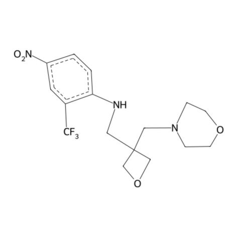 O=[N+]([O-])c1ccc(NCC2(CN3CCOCC3)COC2)c(C(F)(F)F)c1